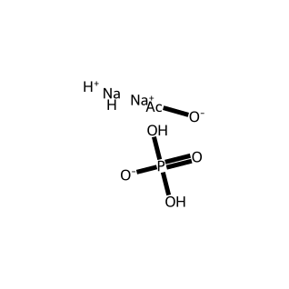 CC(=O)[O-].O=P([O-])(O)O.[H+].[Na+].[NaH]